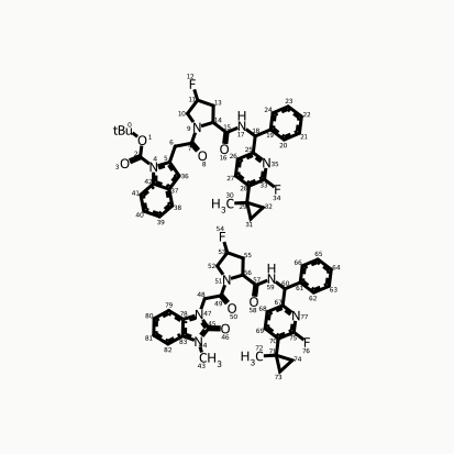 CC(C)(C)OC(=O)n1c(CC(=O)N2CC(F)CC2C(=O)NC(c2ccccc2)c2ccc(C3(C)CC3)c(F)n2)cc2ccccc21.Cn1c(=O)n(CC(=O)N2CC(F)CC2C(=O)NC(c2ccccc2)c2ccc(C3(C)CC3)c(F)n2)c2ccccc21